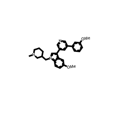 COc1cccc(-c2cncc(-c3cn(CC4CCCN(C)C4)c4ccc(OC)cc34)c2)c1